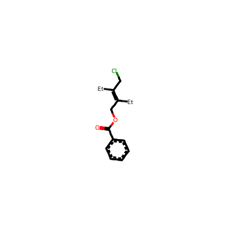 CC/C(CCl)=C(/CC)COC(=O)c1ccccc1